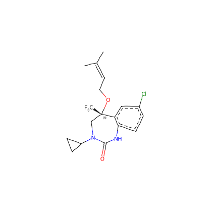 CC(C)=CCO[C@@]1(C(F)(F)F)CN(C2CC2)C(=O)Nc2ccc(Cl)cc21